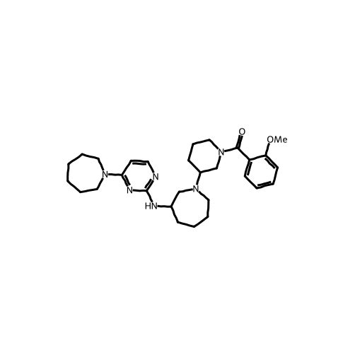 COc1ccccc1C(=O)N1CCCC(N2CCCCC(Nc3nccc(N4CCCCCC4)n3)C2)C1